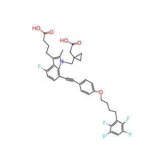 Cc1c(CCCC(=O)O)c2c(F)ccc(C#Cc3ccc(OCCCCc4c(F)c(F)cc(F)c4F)cc3)c2n1CC1(CC(=O)O)CC1